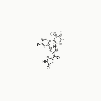 O=C1CN(C(=O)c2cc(-c3cccc(F)c3)n(-c3ccc(F)c(Cl)c3)n2)CN1